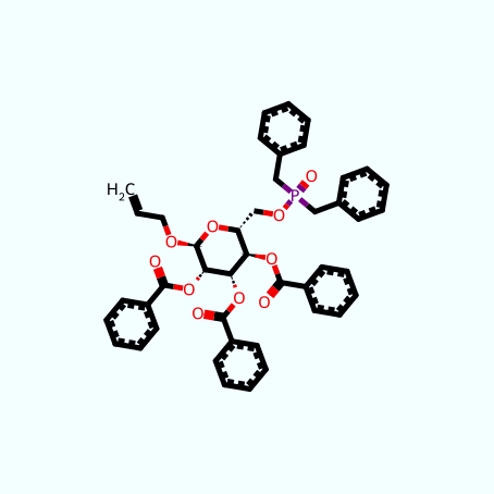 C=CCO[C@H]1O[C@H](COP(=O)(Cc2ccccc2)Cc2ccccc2)[C@@H](OC(=O)c2ccccc2)[C@H](OC(=O)c2ccccc2)[C@@H]1OC(=O)c1ccccc1